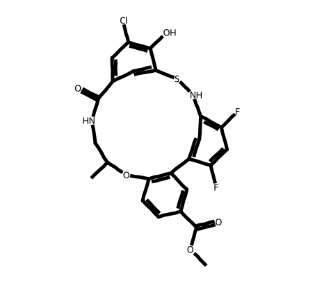 COC(=O)c1ccc2c(c1)-c1cc(c(F)cc1F)NSc1cc(cc(Cl)c1O)C(=O)NCC(C)O2